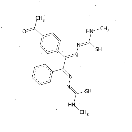 CN/C(S)=N/N=C(/C(=N/N=C(\S)NC)c1ccc(C(C)=O)cc1)c1ccccc1